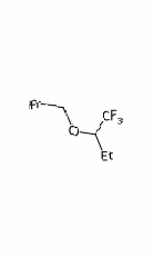 CCC(OCC(C)C)C(F)(F)F